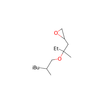 CCC(C)C(C)COC(C)(CC)CC1CO1